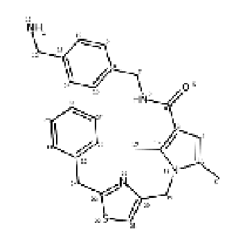 Cc1cc(C(=O)NCc2ccc(CN)cc2)c(C)n1Cc1csc(Cc2ccccc2)n1